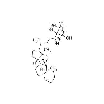 [2H]C(CC[C@@H](C)[C@H]1CC[C@H]2[C@@H]3CCC4CCCC[C@]4(C)[C@H]3CC[C@]12C)C([2H])(C([2H])([2H])[2H])C([2H])([2H])O